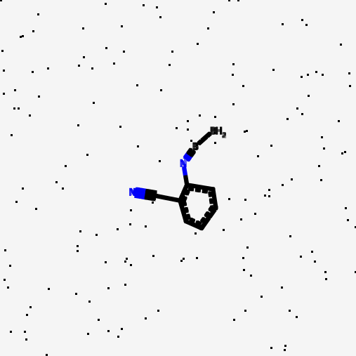 BB=Nc1ccccc1C#N